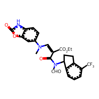 CCOC(=O)/C(=C/N(C)c1ccc2[nH]c(=O)oc2c1)C(=O)N(C=O)C1CCc2c1cccc2C(F)(F)F